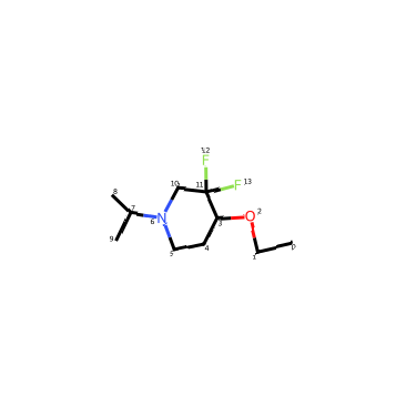 CCOC1CCN(C(C)C)CC1(F)F